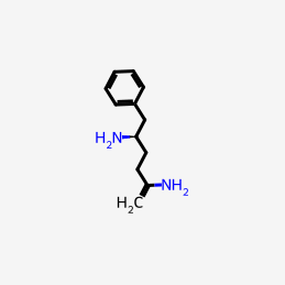 C=C(N)CC[C@@H](N)Cc1ccccc1